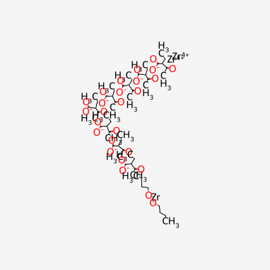 CCC(C(C)=O)C(=O)[O-].CCC(C(C)=O)C(=O)[O-].CCC(C(C)=O)C(=O)[O-].CCC(C(C)=O)C(=O)[O-].CCC(C(C)=O)C(=O)[O-].CCC(C(C)=O)C(=O)[O-].CCC(C(C)=O)C(=O)[O-].CCC(C(C)=O)C(=O)[O-].CCCC[O][Zr][O]CCCC.[Zr+4].[Zr+4]